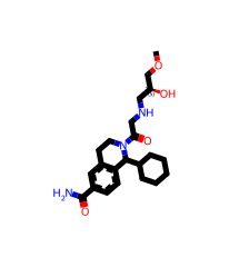 COC[C@@H](O)CNCC(=O)N1CCc2cc(C(N)=O)ccc2C1C1CCCCC1